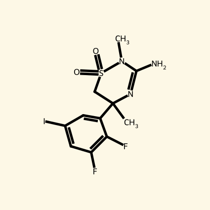 CN1C(N)=NC(C)(c2cc(I)cc(F)c2F)CS1(=O)=O